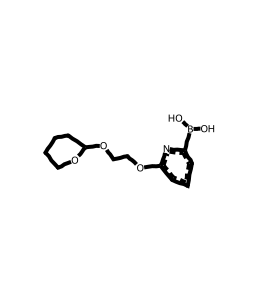 OB(O)c1cccc(OCCOC2CCCCO2)n1